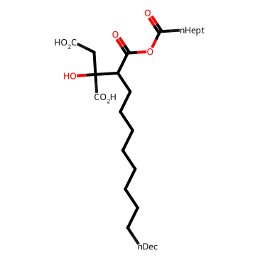 CCCCCCCCCCCCCCCCCCC(C(=O)OC(=O)CCCCCCC)C(O)(CC(=O)O)C(=O)O